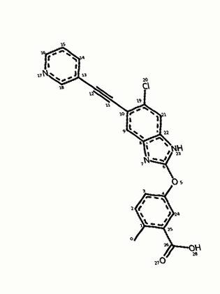 Cc1ccc(Oc2nc3cc(C#Cc4cccnc4)c(Cl)cc3[nH]2)cc1C(=O)O